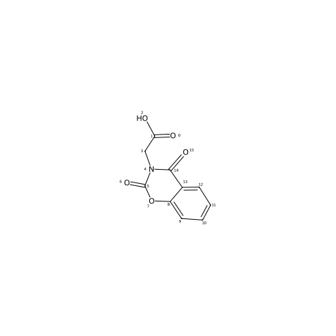 O=C(O)Cn1c(=O)oc2ccccc2c1=O